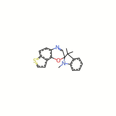 CN1c2ccccc2C(C)(C)C12C=Nc1ccc3sccc3c1O2